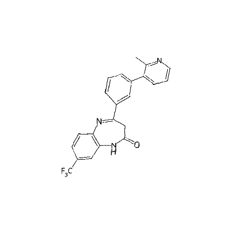 Cc1ncccc1-c1cccc(C2=Nc3ccc(C(F)(F)F)cc3NC(=O)C2)c1